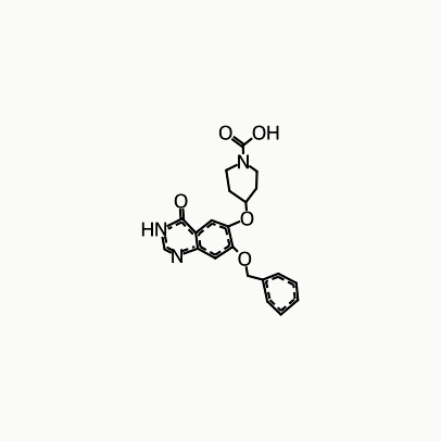 O=C(O)N1CCC(Oc2cc3c(=O)[nH]cnc3cc2OCc2ccccc2)CC1